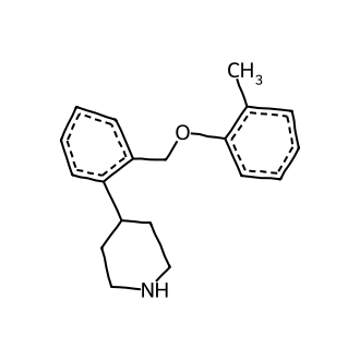 Cc1ccccc1OCc1ccccc1C1CCNCC1